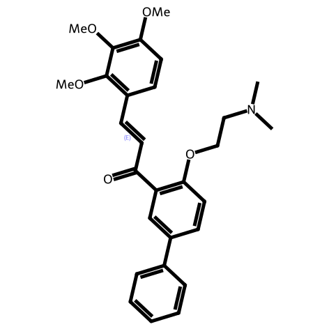 COc1ccc(/C=C/C(=O)c2cc(-c3ccccc3)ccc2OCCN(C)C)c(OC)c1OC